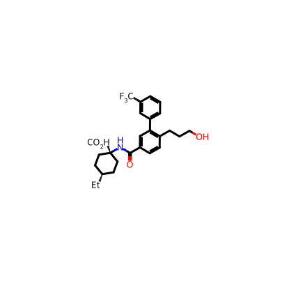 CC[C@H]1CC[C@@](NC(=O)c2ccc(CCCO)c(-c3cccc(C(F)(F)F)c3)c2)(C(=O)O)CC1